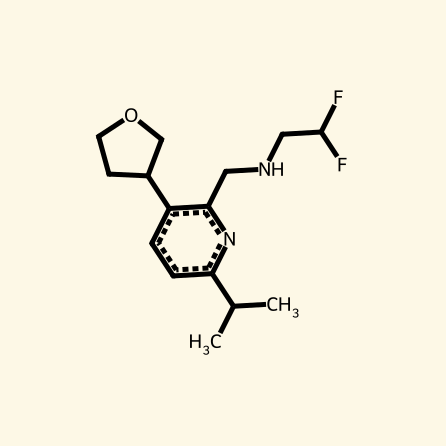 CC(C)c1ccc(C2CCOC2)c(CNCC(F)F)n1